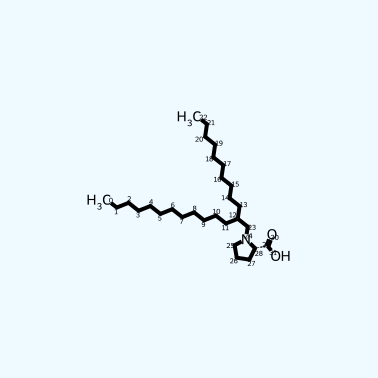 CCCCCCCCCCCCC(CCCCCCCCCC)CN1CCC[C@H]1C(=O)O